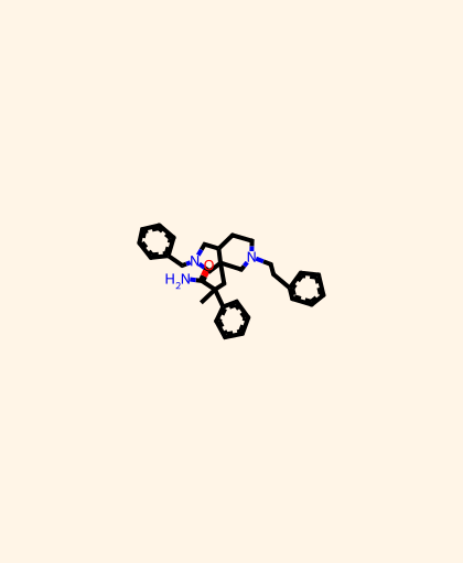 CC(CC12CN(CCc3ccccc3)CCC1CN(Cc1ccccc1)C2)(C(N)=O)c1ccccc1